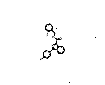 O=C(NCc1ccccc1F)c1nc(-c2ccc(F)cc2)n2ccccc12